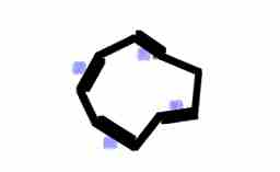 [C]1=C/C=C\C=C/C=C/C/1